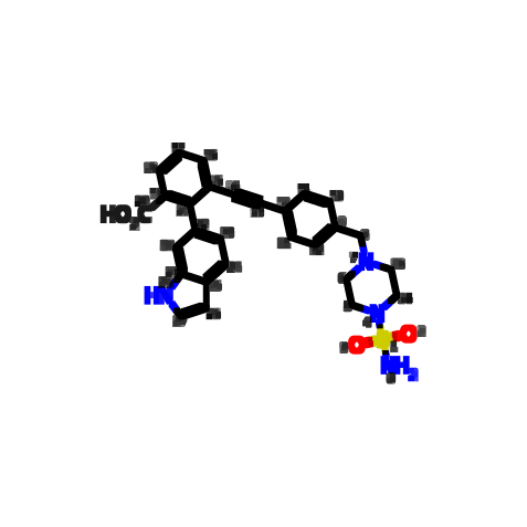 NS(=O)(=O)N1CCN(Cc2ccc(C#Cc3cccc(C(=O)O)c3-c3ccc4cc[nH]c4c3)cc2)CC1